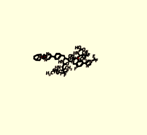 COC(=O)N[C@H](C(=O)N[C@@H](Cc1ccc(-c2cnc(N3CC4CCC(C3)N4C3COC3)nc2)cc1)[C@@H](O)CN(Cc1c(F)cc(-c2cn(C(F)F)cn2)cc1F)NC(=O)[C@@H](NC(=O)O)C(C)(C)C(F)(F)F)C(C)(C)C(F)(F)F